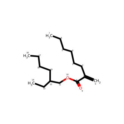 C=C(CCCCCC)C(=O)OCC(CC)CCCC